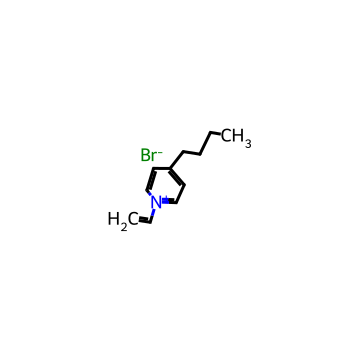 C=C[n+]1ccc(CCCC)cc1.[Br-]